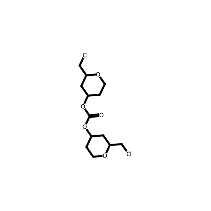 O=C(OC1CCOC(CCl)C1)OC1CCOC(CCl)C1